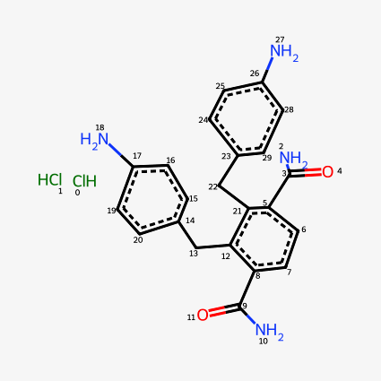 Cl.Cl.NC(=O)c1ccc(C(N)=O)c(Cc2ccc(N)cc2)c1Cc1ccc(N)cc1